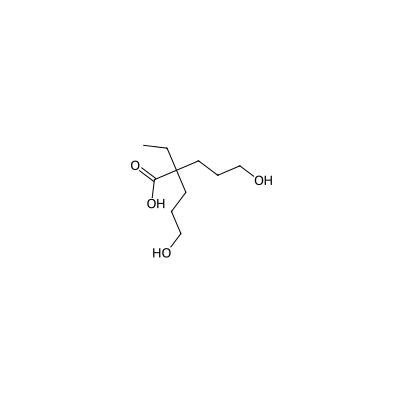 CCC(CCCO)(CCCO)C(=O)O